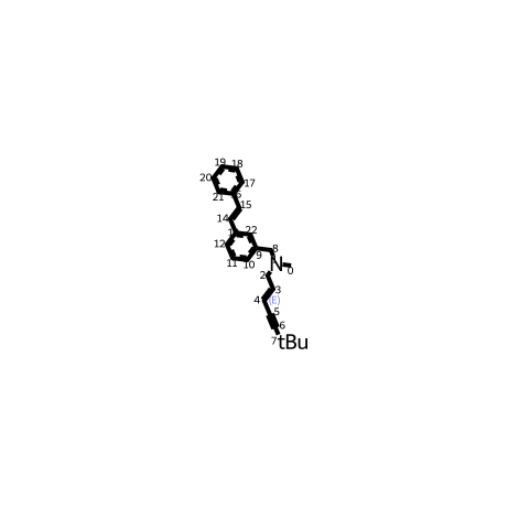 CN(C/C=C/C#CC(C)(C)C)Cc1cccc(C=Cc2ccccc2)c1